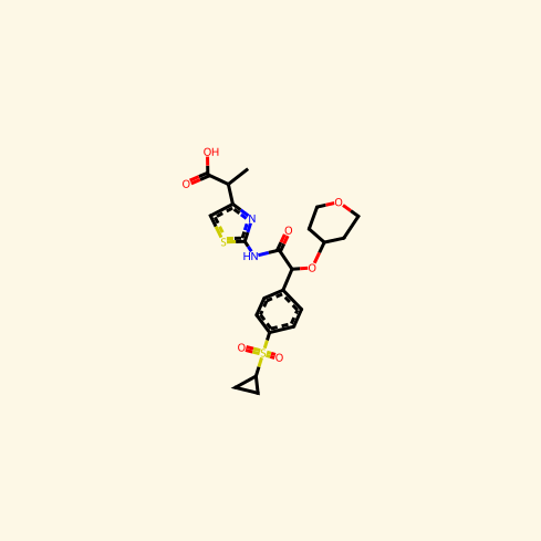 CC(C(=O)O)c1csc(NC(=O)C(OC2CCOCC2)c2ccc(S(=O)(=O)C3CC3)cc2)n1